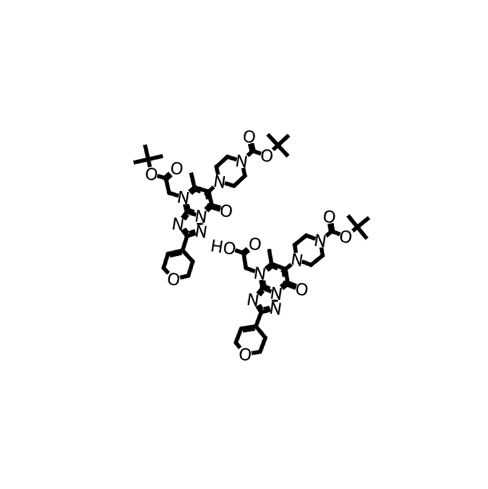 Cc1c(N2CCN(C(=O)OC(C)(C)C)CC2)c(=O)n2nc(C3=CCOCC3)nc2n1CC(=O)O.Cc1c(N2CCN(C(=O)OC(C)(C)C)CC2)c(=O)n2nc(C3=CCOCC3)nc2n1CC(=O)OC(C)(C)C